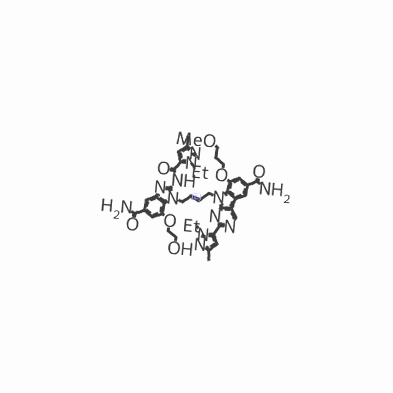 CCn1nc(C)cc1C(=O)Nc1nc2cc(C(N)=O)cc(OCCO)c2n1C/C=C/Cn1c2nc(-c3cc(C)nn3CC)ncc2c2cc(C(N)=O)cc(OCCCOC)c21